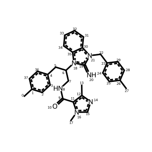 Cc1ccc(CC(CNC(=O)c2c(C)ncn2C)n2c(=N)n(Cc3ccc(C)cc3)c3ccccc32)cc1